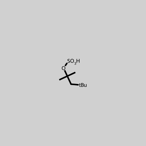 CC(C)(C)CC(C)(C)OS(=O)(=O)O